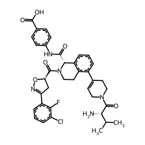 CC(C)[C@H](N)C(=O)N1CC=C(c2cccc3c2CCN(C(=O)[C@H]2CC(c4cccc(Cl)c4F)=NO2)[C@@H]3C(=O)Nc2ccc(C(=O)O)cc2)CC1